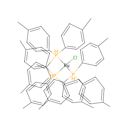 Cc1ccc([PH](c2ccc(C)cc2)(c2ccc(C)cc2)[Ru]([Cl])([PH](c2ccc(C)cc2)(c2ccc(C)cc2)c2ccc(C)cc2)[PH](c2ccc(C)cc2)(c2ccc(C)cc2)c2ccc(C)cc2)cc1